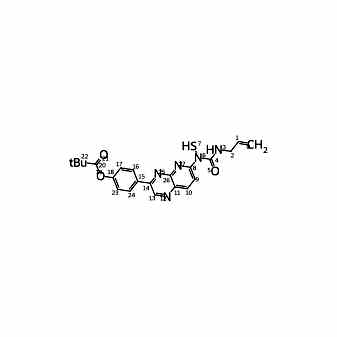 C=CCNC(=O)N(S)c1ccc2ncc(-c3ccc(OC(=O)C(C)(C)C)cc3)nc2n1